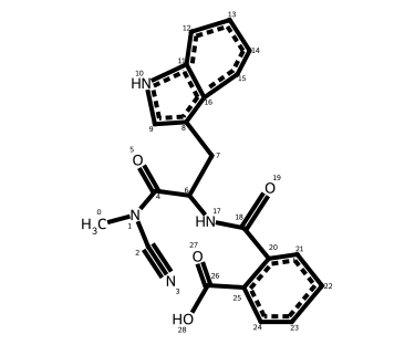 CN(C#N)C(=O)C(Cc1c[nH]c2ccccc12)NC(=O)c1ccccc1C(=O)O